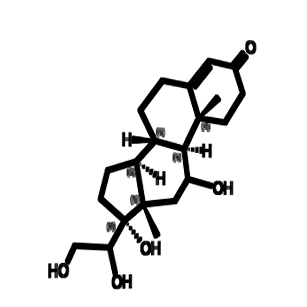 C[C@]12CCC(=O)C=C1CC[C@@H]1[C@@H]2C(O)C[C@@]2(C)[C@H]1CC[C@]2(O)C(O)CO